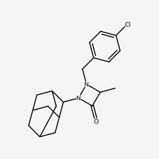 CC1C(=O)N(C2C3CC4CC(C3)CC2C4)N1Cc1ccc(Cl)cc1